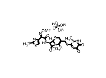 CO/N=C(\C(=O)N[C@@H]1C(=O)N2C(C(=O)O)=C(CSc3nc(=O)c(=O)[nH]n3C)CS[C@H]12)c1csc(N)n1.O=P(O)(O)O